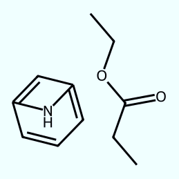 CCOC(=O)CC.c1cc2cc(c1)N2